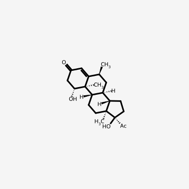 CC(=O)[C@@]1(O)CC[C@H]2[C@@H]3C[C@H](C)C4=CC(=O)C[C@@H](O)[C@]4(C)[C@H]3CC[C@@]21C